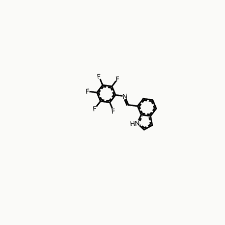 Fc1c(F)c(F)c(/N=C/c2cccc3cc[nH]c23)c(F)c1F